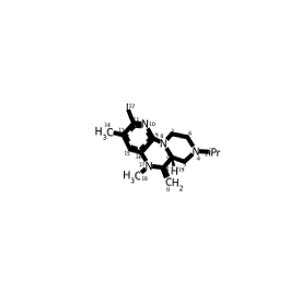 C=C1[C@H]2CN(C(C)C)CCN2c2nc(I)c(C)cc2N1C